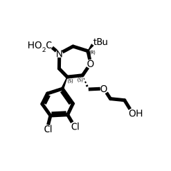 CC(C)(C)[C@@H]1CN(C(=O)O)C[C@H](c2ccc(Cl)c(Cl)c2)[C@@H](COCCO)O1